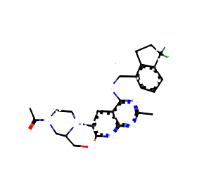 CC(=O)N1CCN2c3cc4c(N[C@H](C)c5cccc6c5CCC6(F)F)nc(C)nc4nc3OCC2C1